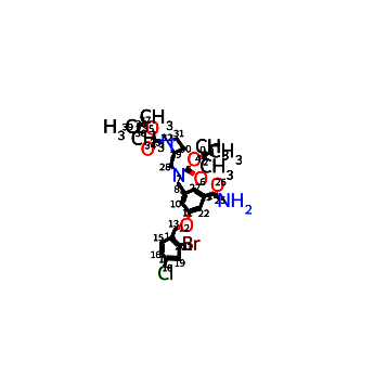 CC(C)(C)OC(=O)N(Cc1cc(OCc2ccc(Cl)cc2Br)cc(C(N)=O)c1)CC1CCN1C(=O)OC(C)(C)C